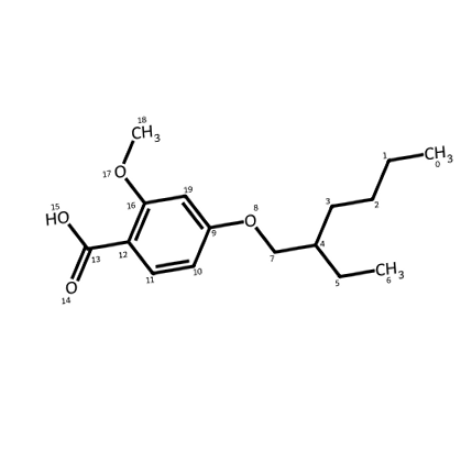 CCCCC(CC)COc1ccc(C(=O)O)c(OC)c1